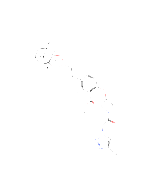 Cc1c(CCB2O[C@@H]3C[C@@H]4C[C@@H](C4(C)C)[C@]3(C)O2)ccc(OC2CN(C(=O)Cn3cc([N+](=O)[O-])nn3)C2)c1C(=O)OC(C)(C)C